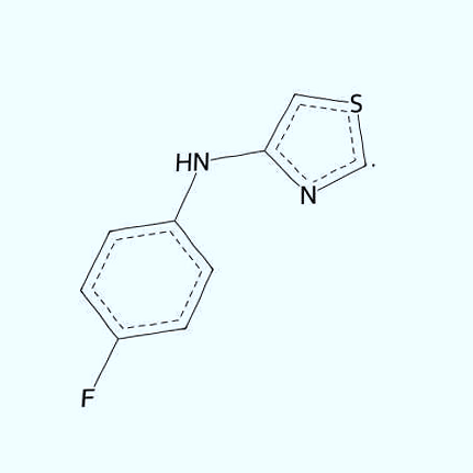 Fc1ccc(Nc2cs[c]n2)cc1